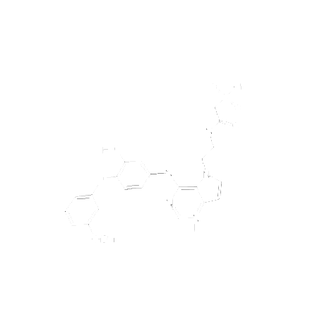 Cc1cc(Nc2ncnc3ccn(CCNC(=O)CS(C)(=O)=O)c23)ccc1Oc1cccc(OCC(C)C)c1.Cl